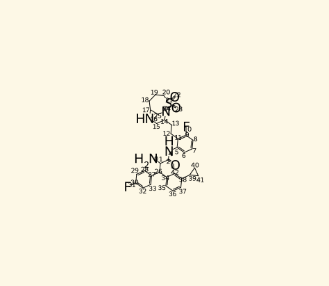 NC(C(=O)Nc1cccc(F)c1CCC1CNC2CCCS(=O)(=O)N1C2)C(c1ccc(F)cc1)c1cccc(C2CC2)c1